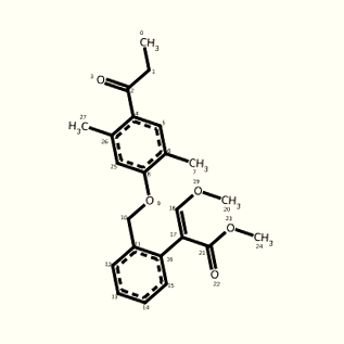 CCC(=O)c1cc(C)c(OCc2ccccc2C(=COC)C(=O)OC)cc1C